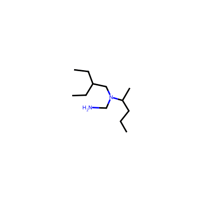 CCCC(C)N(CN)CC(CC)CC